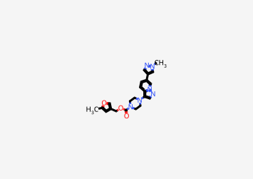 Cc1cc(COC(=O)N2CCN(c3cnn4cc(-c5cnn(C)c5)ccc34)CC2)co1